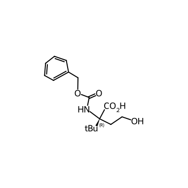 CC(C)(C)[C@@](CCO)(NC(=O)OCc1ccccc1)C(=O)O